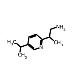 CC(C)c1ccc(C(C)CN)nc1